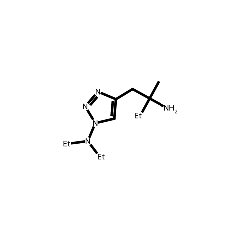 CCN(CC)n1cc(CC(C)(N)CC)nn1